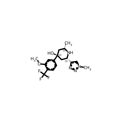 COc1cc([C@@]2(O)C[C@@H](c3cn(C)nn3)N[C@@H](C)C2)ccc1C(F)(F)F